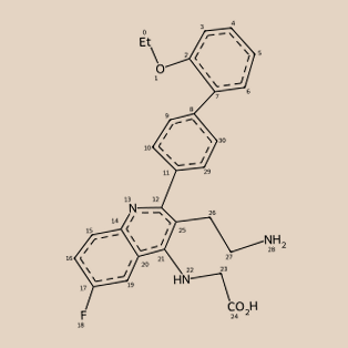 CCOc1ccccc1-c1ccc(-c2nc3ccc(F)cc3c(NCC(=O)O)c2CCN)cc1